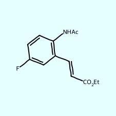 CCOC(=O)C=Cc1cc(F)ccc1NC(C)=O